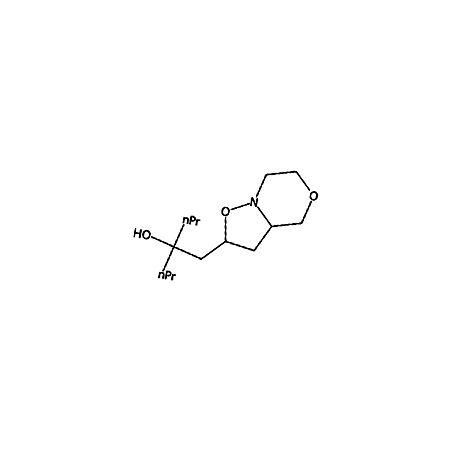 CCCC(O)(CCC)CC1CC2COCCN2O1